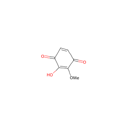 COC1=C(O)C(=O)C=CC1=O